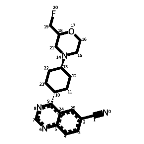 N#Cc1ccc2ncnc([C@H]3CC[C@H](N4CCOC(CF)C4)CC3)c2c1